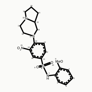 COc1ccccc1NS(=O)(=O)c1ccc(N2CCN3CCCC3C2)c([N+](=O)[O-])c1